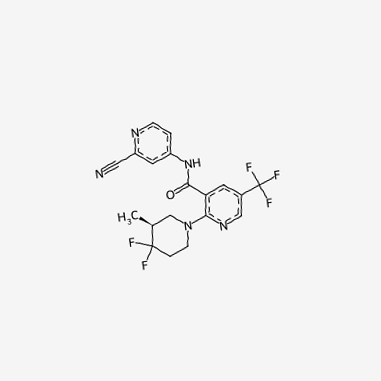 C[C@H]1CN(c2ncc(C(F)(F)F)cc2C(=O)Nc2ccnc(C#N)c2)CCC1(F)F